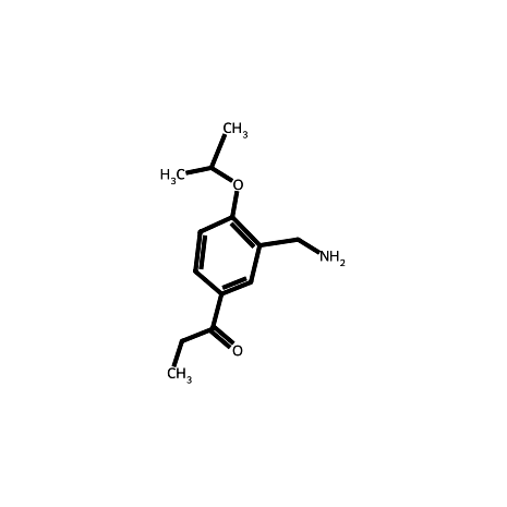 CCC(=O)c1ccc(OC(C)C)c(CN)c1